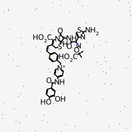 CC(C)(O/N=C(\C(=O)N[C@@H]1C(=O)N2C(C(=O)O)=C(/C=C\c3ccc(C[n+]4ccc(NC(=O)c5ccc(O)c(O)c5)cc4)cc3)CS[C@H]12)c1csc(N)n1)C(=O)O